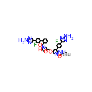 CC(C)(C)C(=O)Nc1ncc(OCC2CN(C(O)c3ccccc3-c3ccc(-c4cnc(N)nc4)c(F)c3)CCO2)cc1-c1ccc(-c2cnc(N)nc2)c(F)c1